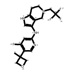 CC1(c2cnc(Nc3c[nH]c4c3CN(CC(F)(F)F)CC4)cc2F)COC1